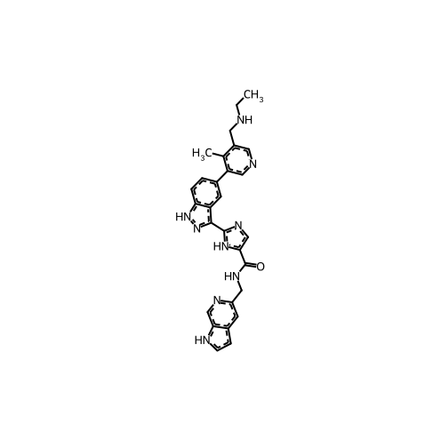 CCNCc1cncc(-c2ccc3[nH]nc(-c4ncc(C(=O)NCc5cc6cc[nH]c6cn5)[nH]4)c3c2)c1C